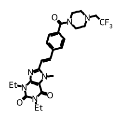 CCn1c(=O)c2c(nc(C=Cc3ccc(C(=O)N4CCN(CC(F)(F)F)CC4)cc3)n2C)n(CC)c1=O